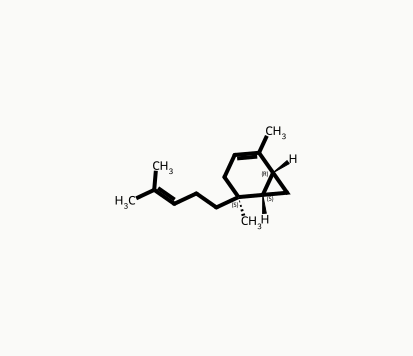 CC(C)=CCC[C@@]1(C)CC=C(C)[C@@H]2C[C@@H]21